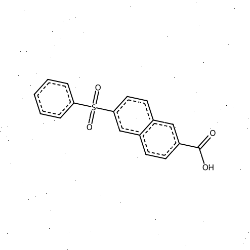 O=C(O)c1ccc2cc(S(=O)(=O)c3ccccc3)ccc2c1